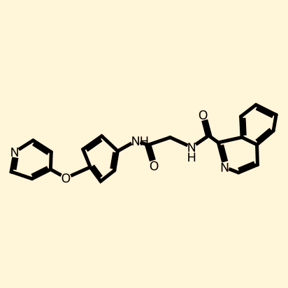 O=C(CNC(=O)c1nccc2ccccc12)Nc1ccc(Oc2ccncc2)cc1